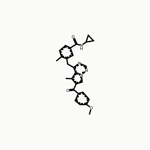 COc1ccc(C(=O)c2cn3ncnc(Cc4cc(C(=O)NC5CC5)ccc4C)c3c2C)cc1